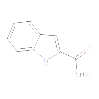 CC(=O)NC(=O)c1cc2ccccc2[nH]1